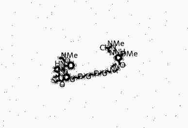 CNc1nc(Nc2ccc(C(=O)N3CCN(CCOCCOCCOCCOCCOc4cccc(C(=O)c5csc[n+]5CC5CCCN5C(=O)[C@@H](NC(=O)[C@H](C)NC)C5CCCCC5)c4)CC3)cc2OC)ncc1Cl